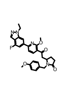 CCn1ncc2c(F)cc(-c3ccc(C(=O)CC4CCC(=O)N4Cc4ccc(OC)cc4)c(OC)n3)cc21